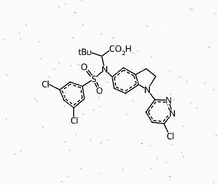 CC(C)(C)C(C(=O)O)N(c1ccc2c(c1)CCN2c1ccc(Cl)nn1)S(=O)(=O)c1cc(Cl)cc(Cl)c1